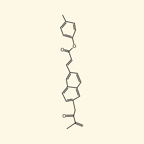 C=C(C)C(=O)Cc1ccc2cc(/C=C/C(=O)Oc3ccc(C)cc3)ccc2c1